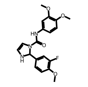 COc1ccc(C2NC=CN2C(=O)Nc2ccc(OC)c(OC)c2)cc1F